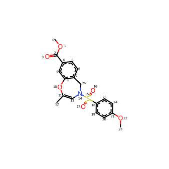 COC(=O)c1ccc2c(c1)OC(C)=CN(S(=O)(=O)c1ccc(OC)cc1)C2